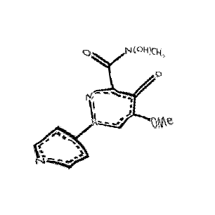 COc1cn(-c2ccncc2)nc(C(=O)N(C)O)c1=O